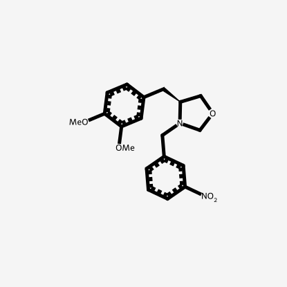 COc1ccc(C[C@H]2COCN2Cc2cccc([N+](=O)[O-])c2)cc1OC